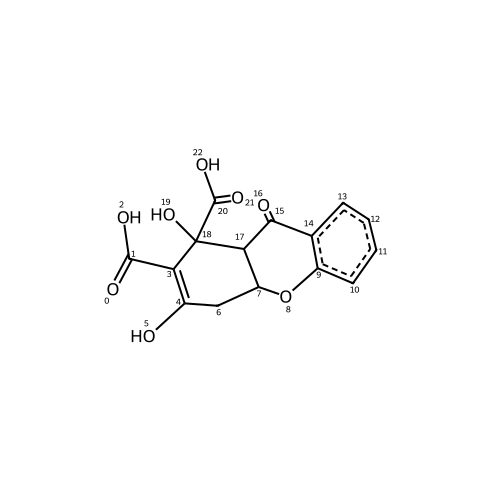 O=C(O)C1=C(O)CC2Oc3ccccc3C(=O)C2C1(O)C(=O)O